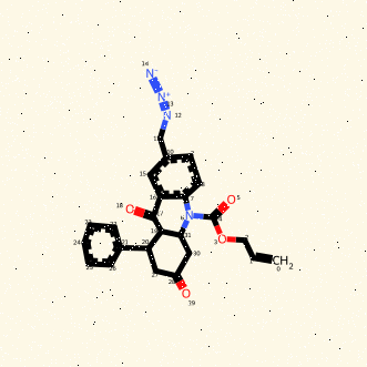 C=CCOC(=O)N1c2ccc(CN=[N+]=[N-])cc2C(=O)C2C(c3ccccc3)CC(=O)CC21